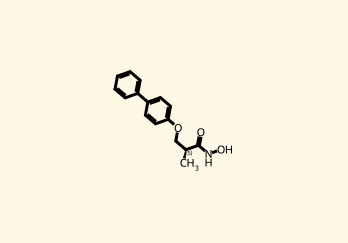 C[C@@H](COc1ccc(-c2ccccc2)cc1)C(=O)NO